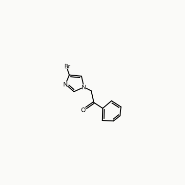 O=C(Cn1cnc(Br)c1)c1ccccc1